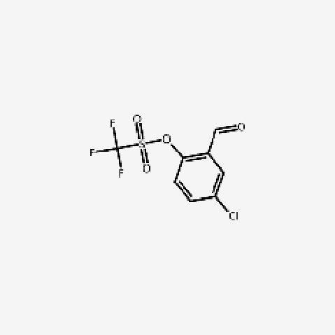 O=Cc1cc(Cl)ccc1OS(=O)(=O)C(F)(F)F